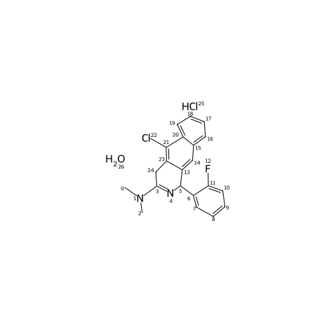 CN(C)C1=NC(c2ccccc2F)c2cc3ccccc3c(Cl)c2C1.Cl.O